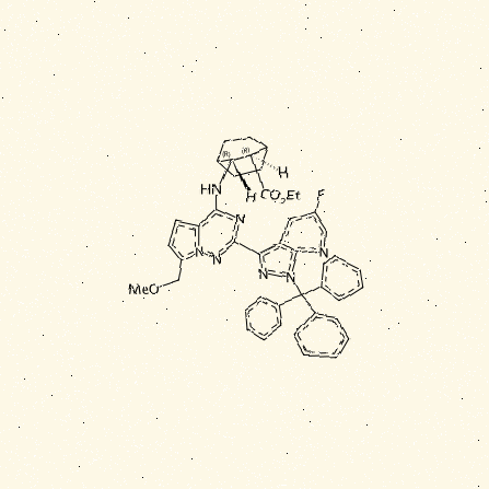 CCOC(=O)[C@@H]1C2CCC(CC2)[C@H]1Nc1nc(-c2nn(C(c3ccccc3)(c3ccccc3)c3ccccc3)c3ncc(F)cc23)nn2c(COC)ccc12